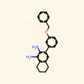 Nc1c(-c2cccc(OCc3ccccc3)c2)cc2c(c1N)CCCC2